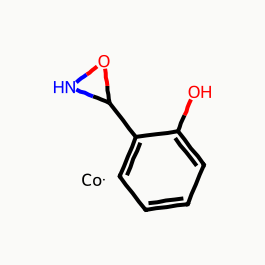 Oc1ccccc1C1NO1.[Co]